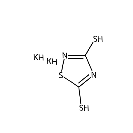 Sc1nsc(S)n1.[KH].[KH]